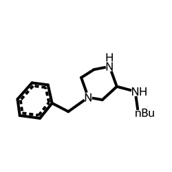 CCCCNC1CN(Cc2ccccc2)CCN1